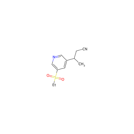 CCS(=O)(=O)c1cncc(C(C)CC#N)c1